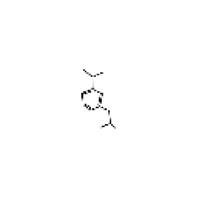 CC(C)Cc1[c]ccc(C(C)C)c1